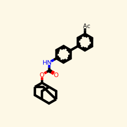 CC(=O)c1cccc(-c2ccc(NC(=O)OC3C4CC5CC(C4)CC3C5)cc2)c1